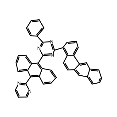 c1ccc(-c2nc(-c3c4ccccc4c(-c4ncccn4)c4ccccc34)nc(-c3cccc4c3ccc3cc5ccccc5cc34)n2)cc1